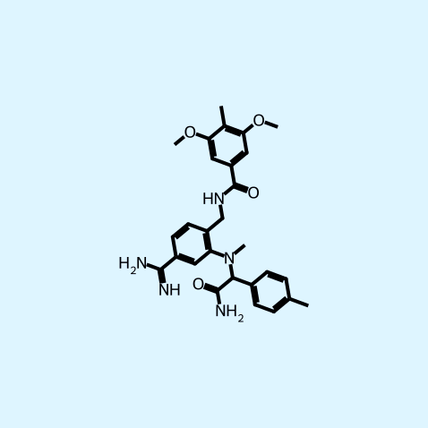 COc1cc(C(=O)NCc2ccc(C(=N)N)cc2N(C)C(C(N)=O)c2ccc(C)cc2)cc(OC)c1C